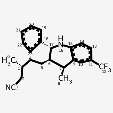 C[C@@H](CC#N)CC[C@@H]1[C@H](C)c2cc(C(F)(F)F)ccc2N[C@H]1c1ccccc1